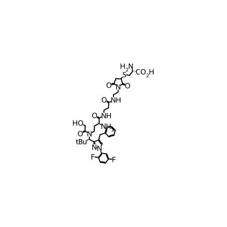 CC(C)(C)[C@H](c1nn(-c2cc(F)ccc2F)cc1Cc1ccccc1)N(CC[C@H](N)C(=O)NCCC(=O)NCCN1C(=O)CC(SC[C@H](N)C(=O)O)C1=O)C(=O)CO